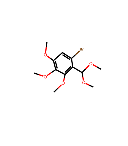 COc1cc(Br)c(C(OC)OC)c(OC)c1OC